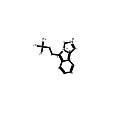 FC(F)(F)CCc1c2ccccc2c2n1CN=C2